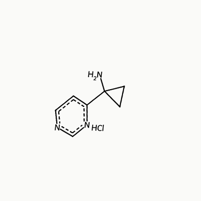 Cl.NC1(c2ccncn2)CC1